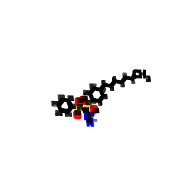 CCCCCCCC1CCC(S(=O)(=O)C(=[N+]=[N-])S(=O)(=O)c2ccccc2)CC1